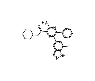 Nc1nc(-c2ccccc2)c(-c2cc(Cl)c3[nH]ncc3c2)nc1C(=O)CC1CCCCC1